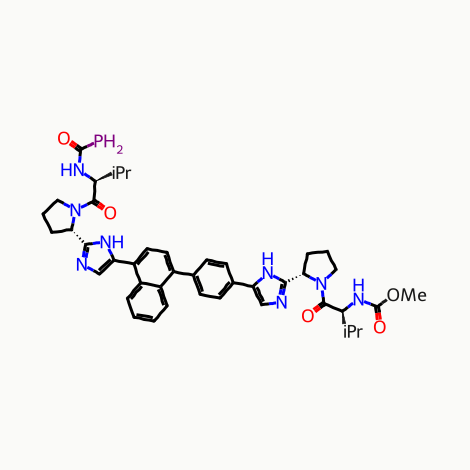 COC(=O)N[C@H](C(=O)N1CCC[C@H]1c1ncc(-c2ccc(-c3ccc(-c4cnc([C@@H]5CCCN5C(=O)[C@@H](NC(=O)P)C(C)C)[nH]4)c4ccccc34)cc2)[nH]1)C(C)C